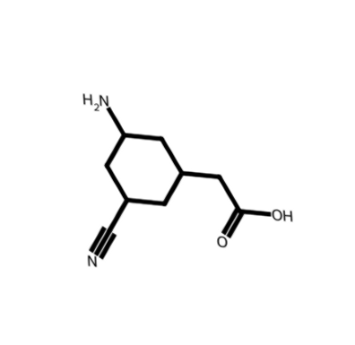 N#CC1CC(N)CC(CC(=O)O)C1